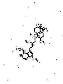 C=C1CC[C@@H]2C(C)(C)CCC[C@@]2(C)[C@@H]1CC/C(C)=C/C[n+]1cn(C)c2nc[nH]/c(=N\O)c21